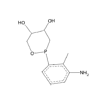 Cc1c(N)c[c]cc1P1CC(O)C(O)CO1